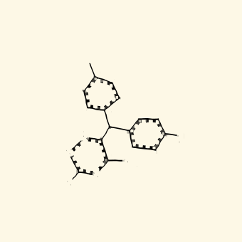 Nc1nnc(C(c2ccc(Cl)cc2)c2ccc(Cl)cc2)c(N)n1